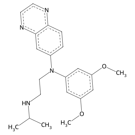 COc1cc(OC)cc(N(CCNC(C)C)c2ccc3nccnc3c2)c1